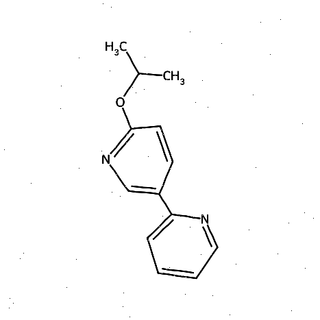 CC(C)Oc1ccc(-c2ccccn2)cn1